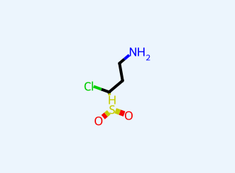 NCCC(Cl)[SH](=O)=O